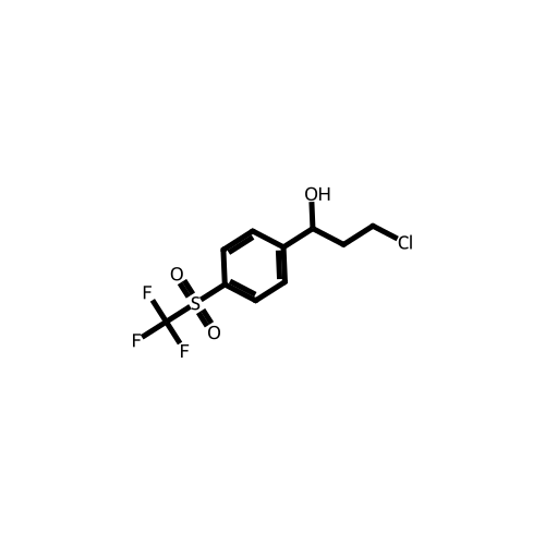 O=S(=O)(c1ccc(C(O)CCCl)cc1)C(F)(F)F